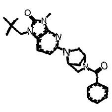 Cn1c(=O)n(CC(C)(C)C)c2ccc(N3CC4CC3CN4C(=O)c3ccccc3)nc21